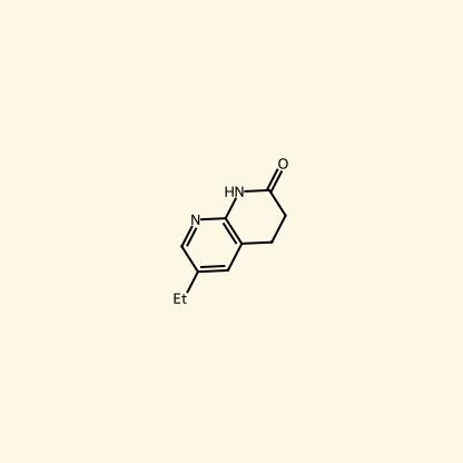 CCc1cnc2c(c1)CCC(=O)N2